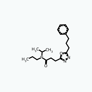 CCCN(C(=O)CCc1nnc(CCCc2ccccc2)o1)C(C)C